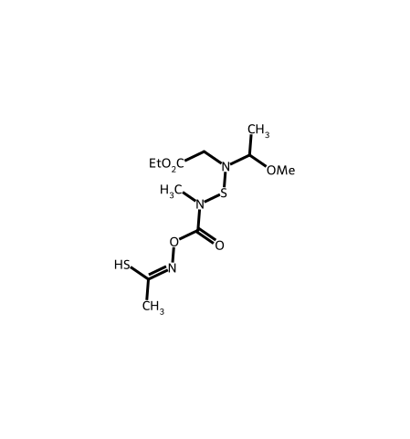 CCOC(=O)CN(SN(C)C(=O)ON=C(C)S)C(C)OC